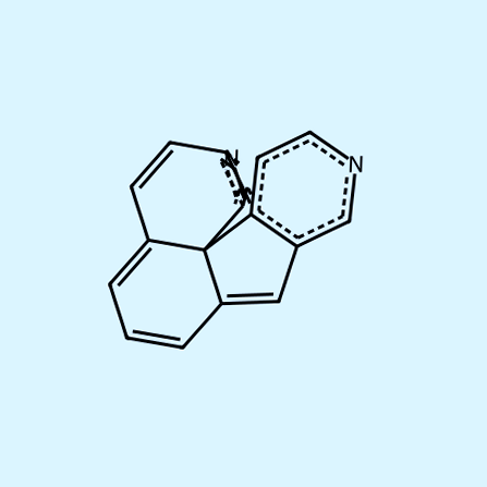 C1=CC2=Cc3cnccc3C23C(=C1)C=Cc1cnccc13